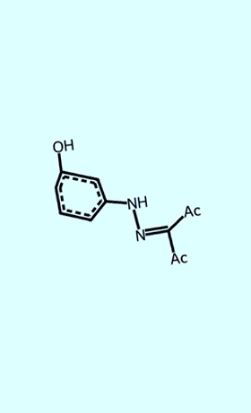 CC(=O)C(=NNc1cccc(O)c1)C(C)=O